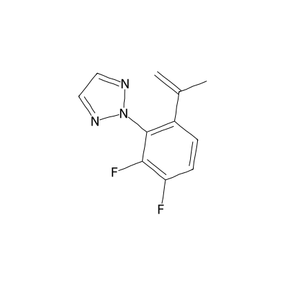 C=C(C)c1ccc(F)c(F)c1-n1nccn1